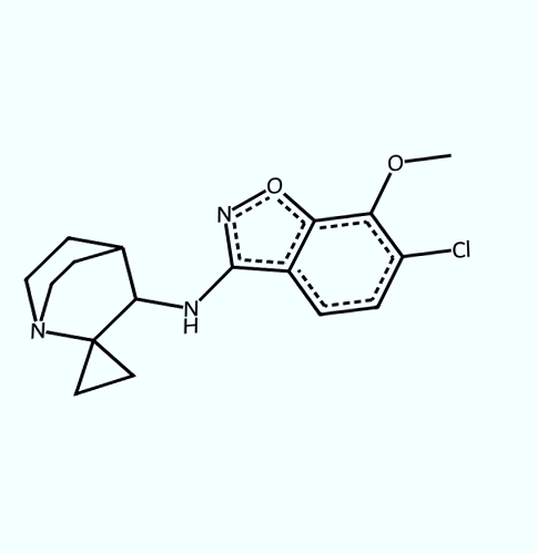 COc1c(Cl)ccc2c(NC3C4CCN(CC4)C34CC4)noc12